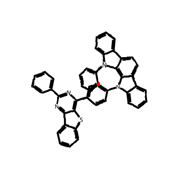 c1ccc(-c2nc(-c3ccc(-n4c5ccccc5c5ccc6c7ccccc7n(-c7ccccc7)c6c54)cc3)c3sc4ccccc4c3n2)cc1